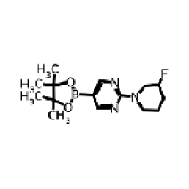 CC1(C)OB(c2cnc(N3CCCC(F)C3)nc2)OC1(C)C